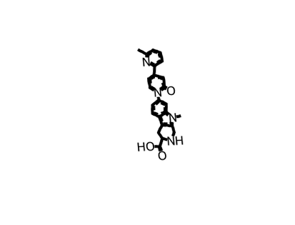 Cc1cccc(-c2ccn(-c3ccc4c5c(n(C)c4c3)CNC(C(=O)O)C5)c(=O)c2)n1